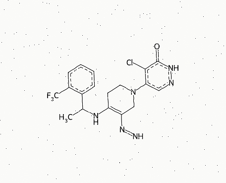 CC(NC1=C(N=N)CN(c2cn[nH]c(=O)c2Cl)CC1)c1ccccc1C(F)(F)F